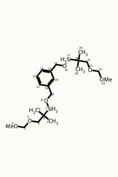 COCOCC(C)(C)[SiH2]OCc1cccc(CO[SiH2]C(C)(C)COCOC)c1